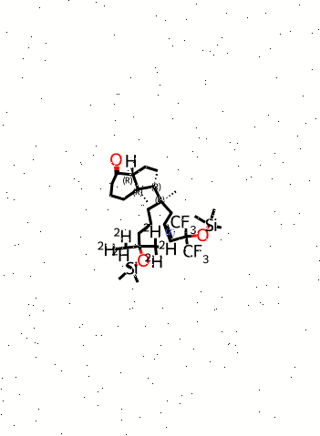 [2H]C([2H])([2H])C(CCC[C@](C)(C/C=C\C(O[Si](C)(C)C)(C(F)(F)F)C(F)(F)F)[C@H]1CC[C@H]2C(=O)CCC[C@]12C)(O[Si](C)(C)C)C([2H])([2H])[2H]